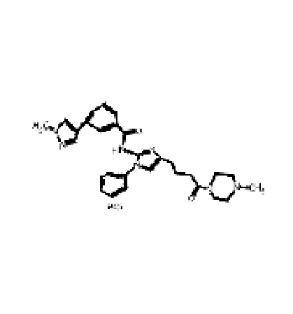 CN1CCN(C(=O)CCCc2cn(-c3ccccc3)c(NC(=O)c3cccc(-c4cnn(C)c4)c3)n2)CC1.Cl